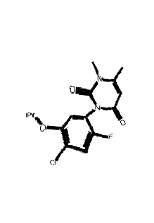 Cc1cc(=O)n(-c2cc(OC(C)C)c(Cl)cc2F)c(=O)n1C